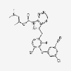 CC(CN(C)C)OC(=O)n1nc(Cc2ccc(Br)c(Oc3cc(Cl)cc(C#N)c3)c2F)c2ccnnc21